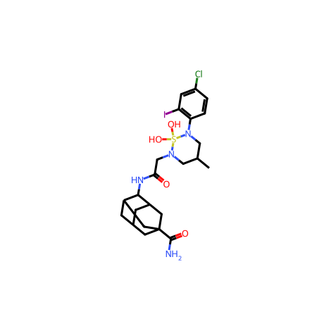 CC1CN(CC(=O)NC2C3CC4CC2CC(C(N)=O)(C4)C3)S(O)(O)N(c2ccc(Cl)cc2I)C1